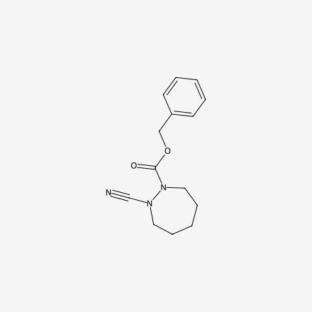 N#CN1CCCCCN1C(=O)OCc1ccccc1